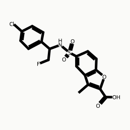 Cc1c(C(=O)O)oc2ccc(S(=O)(=O)NC(CF)c3ccc(Cl)cc3)cc12